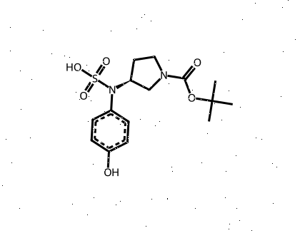 CC(C)(C)OC(=O)N1CC[C@H](N(c2ccc(O)cc2)S(=O)(=O)O)C1